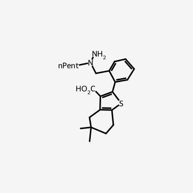 CCCCCN(N)Cc1ccccc1-c1sc2c(c1C(=O)O)CC(C)(C)CC2